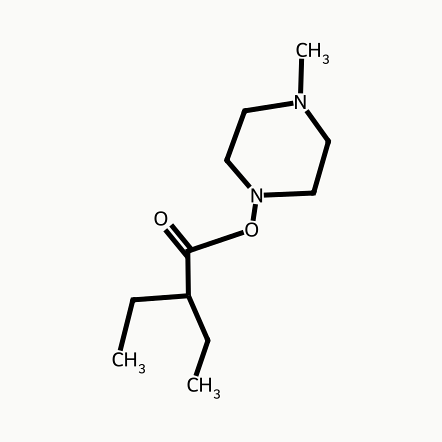 CCC(CC)C(=O)ON1CCN(C)CC1